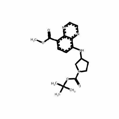 COC(=O)c1ccc(NC2CCN(C(=O)OC(C)(C)C)C2)c2nccnc12